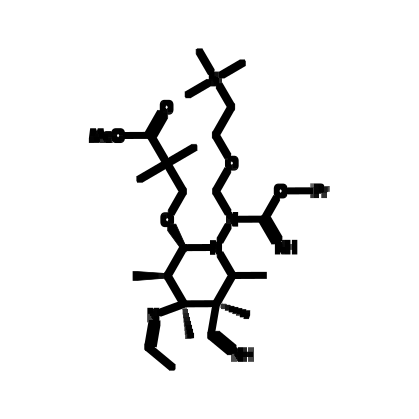 C/C=N\[C@@]1(C)[C@@H](C)[C@@H](OCC(C)(C)C(=O)OC)N(N(COCC[Si](C)(C)C)C(=N)OC(C)C)C(C)[C@@]1(C)C=N